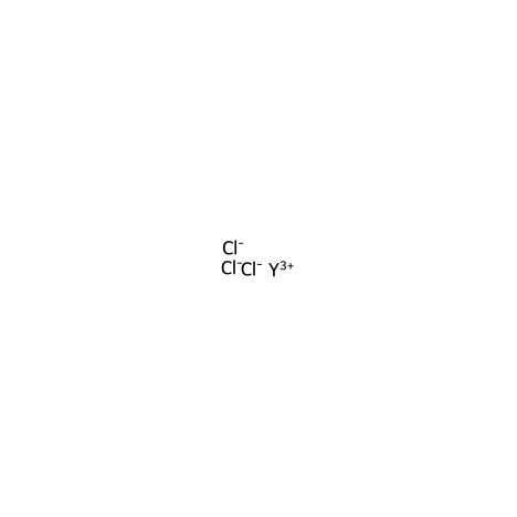 [Cl-].[Cl-].[Cl-].[Y+3]